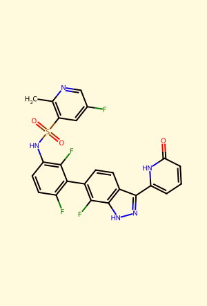 Cc1ncc(F)cc1S(=O)(=O)Nc1ccc(F)c(-c2ccc3c(-c4cccc(=O)[nH]4)n[nH]c3c2F)c1F